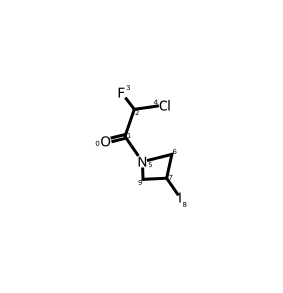 O=C(C(F)Cl)N1CC(I)C1